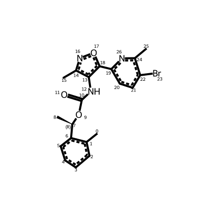 Cc1ccccc1[C@@H](C)OC(=O)Nc1c(C)noc1-c1ccc(Br)c(C)n1